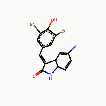 O=C1NC2C=CC(I)=CC2/C1=C\c1cc(Br)c(O)c(Br)c1